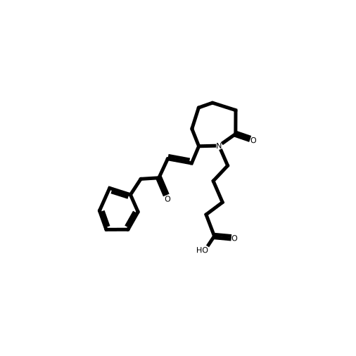 O=C(O)CCCCN1C(=O)CCCCC1C=CC(=O)Cc1ccccc1